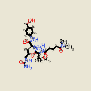 CC(C)C(NC(=O)CCCC(=O)N(C)C)C(=O)N[C@@H](CCCNC(N)=O)C(=O)Nc1ccc(CO)cc1